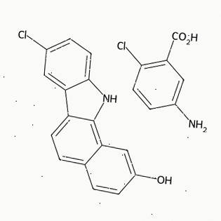 Nc1ccc(Cl)c(C(=O)O)c1.Oc1ccc2ccc3c4cc(Cl)ccc4[nH]c3c2c1